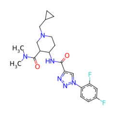 CN(C)C(=O)C1CN(CC2CC2)CCC1NC(=O)c1cn(-c2ccc(F)cc2F)nn1